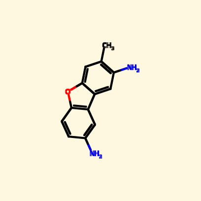 Cc1cc2oc3ccc(N)cc3c2cc1N